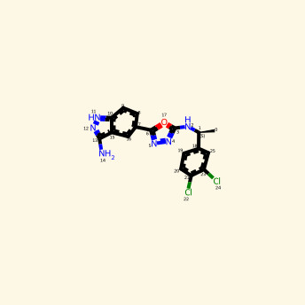 C[C@H](Nc1nnc(-c2ccc3[nH]nc(N)c3c2)o1)c1ccc(Cl)c(Cl)c1